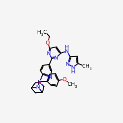 CCOc1cc(Nc2cc(C)[nH]n2)nc(-c2ccc(N3CC4CC(C3)N4Cc3ccc(OC)cc3)nc2)n1